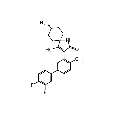 Cc1ccc(-c2ccc(F)c(F)c2)cc1C1=C(O)[C@]2(CC[C@H](C)CC2)NC1=O